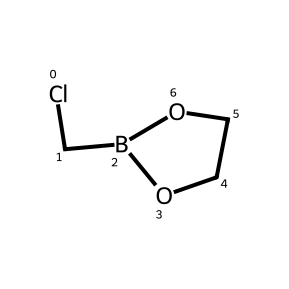 ClCB1OCCO1